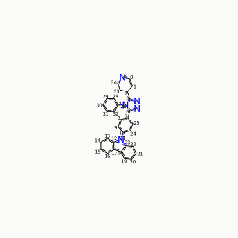 C1=CC(c2nnc(-c3ccc(-n4c5ccccc5c5ccccc54)cc3)n2-c2ccccc2)CC=N1